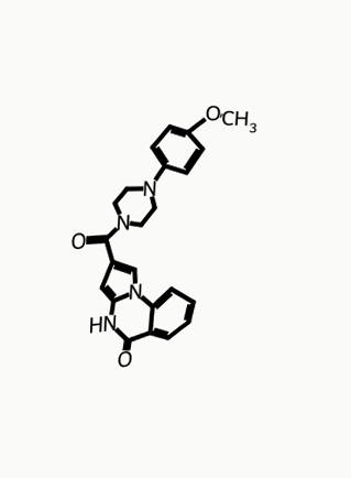 COc1ccc(N2CCN(C(=O)c3cc4[nH]c(=O)c5ccccc5n4c3)CC2)cc1